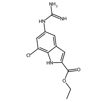 CCOC(=O)c1cc2cc(NC(=N)N)cc(Cl)c2[nH]1